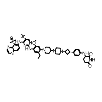 CCc1cc(Nc2ncc(Br)c(Nc3ccc4nccnc4c3P(C)(C)=O)n2)c(OC)cc1N1CCC(N2CCN([C@H]3C[C@H](c4ccc(NC5CCC(=O)NC5=O)cc4)C3)CC2)CC1